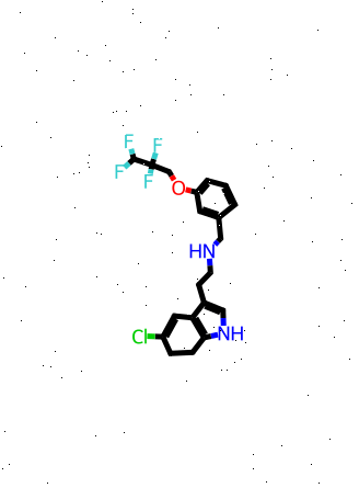 FC(F)C(F)(F)COc1cccc(CNCCc2c[nH]c3c2C=C(Cl)CC3)c1